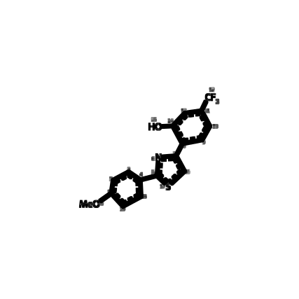 COc1ccc(-c2nc(-c3ccc(C(F)(F)F)cc3O)cs2)cc1